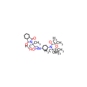 CC1(C)OC(C)(C)C(C)(C)N(c2ccc(NC[C@@H](O)C(C)(C)N3C(=O)c4ccccc4C3=O)cc2)C1=O